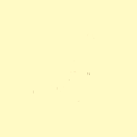 C=CCC(C)(Cc1ccc(Cl)cc1Cl)C[N+]1(CC=C)CCCC1.[Br-]